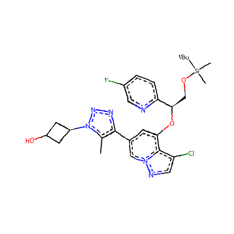 Cc1c(-c2cc(O[C@H](CO[Si](C)(C)C(C)(C)C)c3ccc(F)cn3)c3c(Cl)cnn3c2)nnn1C1CC(O)C1